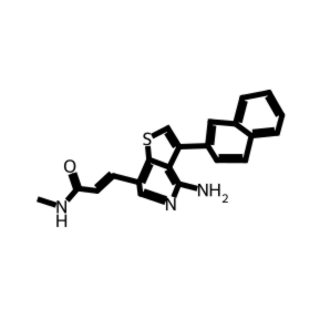 CNC(=O)C=Cc1cnc(N)c2c(-c3ccc4ccccc4c3)csc12